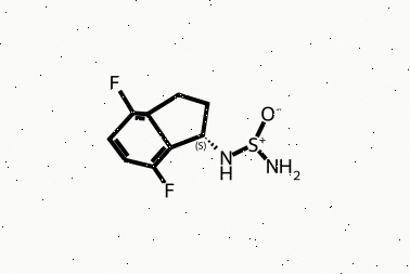 N[S+]([O-])N[C@H]1CCc2c(F)ccc(F)c21